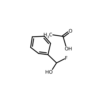 CC(=O)O.OC(F)c1ccccc1